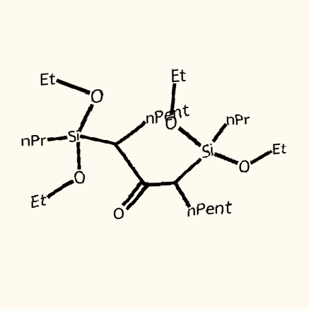 CCCCCC(C(=O)C(CCCCC)[Si](CCC)(OCC)OCC)[Si](CCC)(OCC)OCC